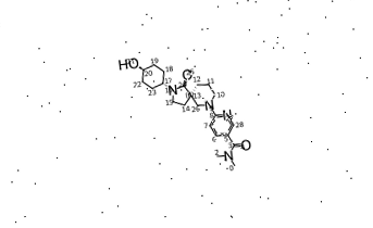 CN(C)C(=O)c1ccc(N2CCC[C@@]3(CCN([C@H]4CC[C@H](O)CC4)C3=O)C2)nc1